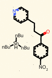 CCC[CH2][SnH]([CH2]CCC)[CH2]CCC.O=C(CCc1ccncc1)c1ccc([N+](=O)[O-])cc1